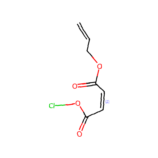 C=CCOC(=O)/C=C\C(=O)OCl